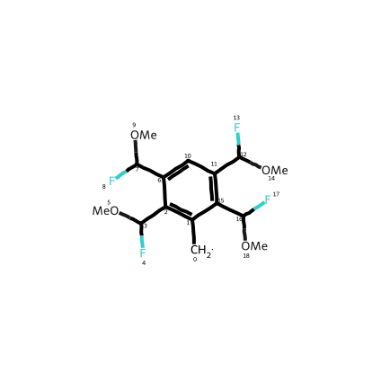 [CH2]c1c(C(F)OC)c(C(F)OC)cc(C(F)OC)c1C(F)OC